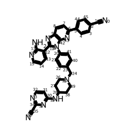 N#Cc1ccc(-c2ccc3nc(-c4cccnc4N)n(-c4ccc(CN5CCC(Nc6ccnc(C#N)n6)CC5)cc4)c3n2)cc1